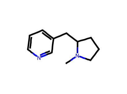 CN1CCCC1Cc1cccnc1